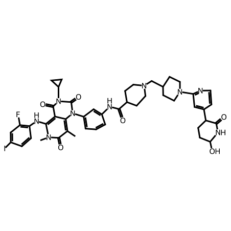 Cc1c(=O)n(C)c(Nc2ccc(I)cc2F)c2c(=O)n(C3CC3)c(=O)n(-c3cccc(NC(=O)C4CCN(CC5CCN(c6cc(C7CCC(O)NC7=O)ccn6)CC5)CC4)c3)c12